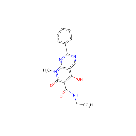 Cn1c(=O)c(C(=O)NCC(=O)O)c(O)c2cnc(-c3ccccc3)nc21